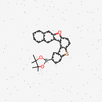 CC1(C)OB(c2ccc3sc4ccc5oc6cc7ccccc7cc6c5c4c3c2)OC1(C)C